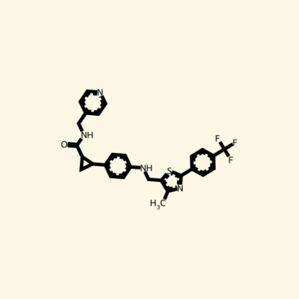 Cc1nc(-c2ccc(C(F)(F)F)cc2)sc1CNc1ccc(C2CC2C(=O)NCc2ccncc2)cc1